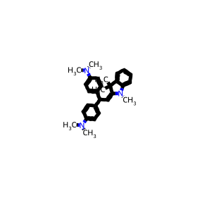 CN(C)c1ccc(C(/C=C2/N(C)c3ccccc3C2(C)C)c2ccc(N(C)C)cc2)cc1